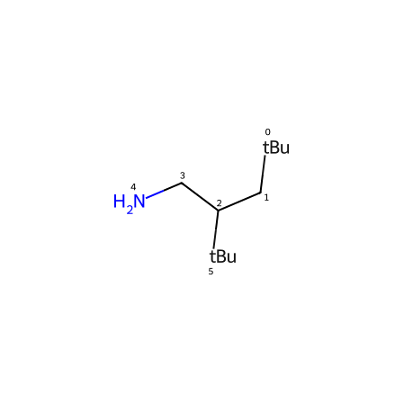 CC(C)(C)CC(CN)C(C)(C)C